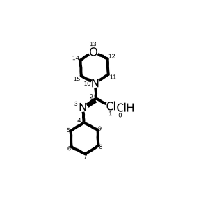 Cl.ClC(=NC1CCCCC1)N1CCOCC1